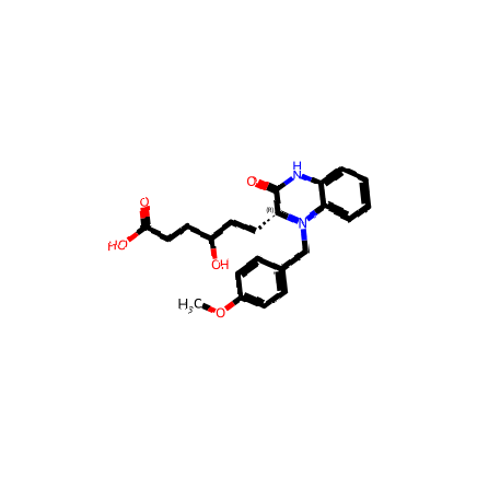 COc1ccc(CN2c3ccccc3NC(=O)[C@H]2CCC(O)CCC(=O)O)cc1